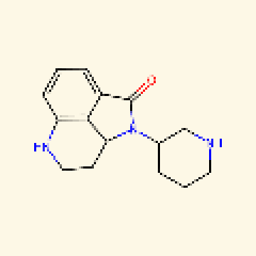 O=C1c2cccc3c2C(CCN3)N1C1CCCNC1